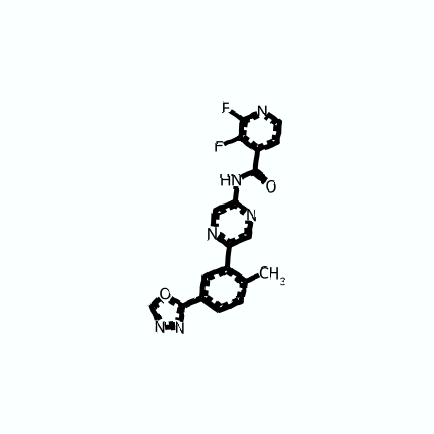 Cc1ccc(-c2nnco2)cc1-c1cnc(NC(=O)c2ccnc(F)c2F)cn1